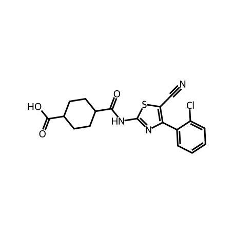 N#Cc1sc(NC(=O)C2CCC(C(=O)O)CC2)nc1-c1ccccc1Cl